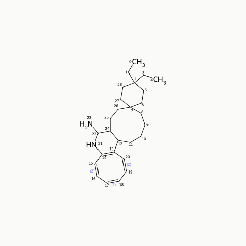 CCC1(CC)CCC2(CCCCC3C4=C(\C=C/C=C\C=C/4)NC(N)C3CC2)CC1